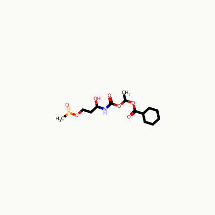 CC(OC(=O)NC(O)CCO[PH](C)=O)OC(=O)C1CCCCC1